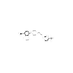 N#Cc1ccc(N2CCN(CCSc3nccc(C(F)(F)F)n3)CC2)c2c1OCCO2